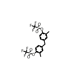 Cc1cc(Cc2ccc(OS(=O)(=O)C(F)(F)F)c(C)c2)ccc1OS(=O)(=O)C(F)(F)F